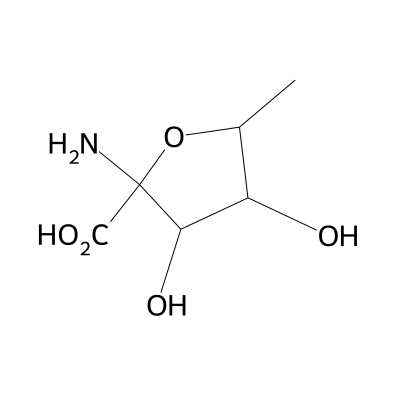 CC1OC(N)(C(=O)O)C(O)C1O